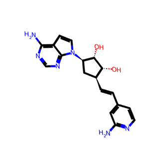 Nc1cc(/C=C/[C@H]2C[C@@H](n3ccc4c(N)ncnc43)[C@H](O)[C@@H]2O)ccn1